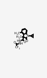 Cc1cccc2c1C(C)(C(=O)NNC(=O)C(F)(F)F)C(=O)N2C1CC1